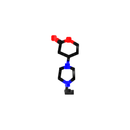 CC(C)(C)N1CCN(C2CCOC(=O)C2)CC1